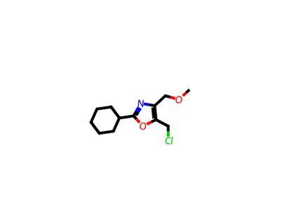 COCc1nc(C2CCCCC2)oc1CCl